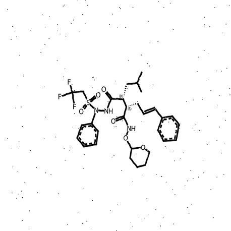 CC(C)C[C@@H](C(=O)NN(c1ccccc1)S(=O)(=O)CC(F)(F)F)[C@H](CC=Cc1ccccc1)C(=O)NOC1CCCCO1